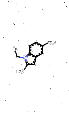 CCOC(=O)c1cc2cc(C(=O)O)ccc2n1CC(C)C